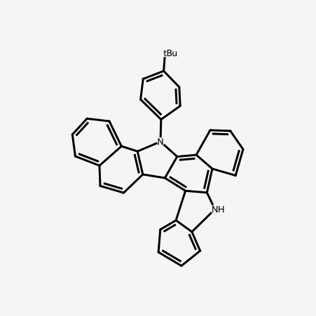 CC(C)(C)c1ccc(-n2c3c4ccccc4ccc3c3c4c5ccccc5[nH]c4c4ccccc4c32)cc1